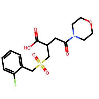 O=C(O)C(CC(=O)N1CCOCC1)CS(=O)(=O)Cc1ccccc1F